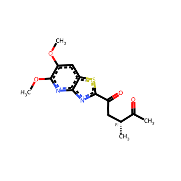 COc1cc2sc(C(=O)C[C@@H](C)C(C)=O)nc2nc1OC